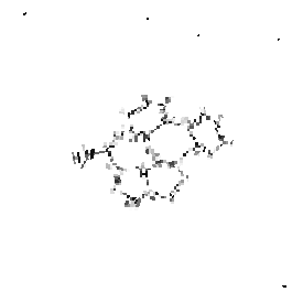 NC(=O)c1cnc2ccc(-c3ccccc3-c3ccccn3)cn12